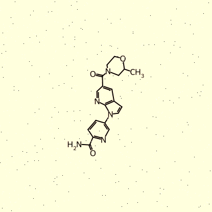 CC1CN(C(=O)c2cnc3c(ccn3-c3ccc(C(N)=O)nc3)c2)CCO1